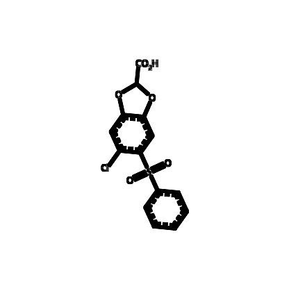 O=C(O)C1Oc2cc(Cl)c(S(=O)(=O)c3ccccc3)cc2O1